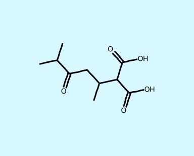 CC(C)C(=O)CC(C)C(C(=O)O)C(=O)O